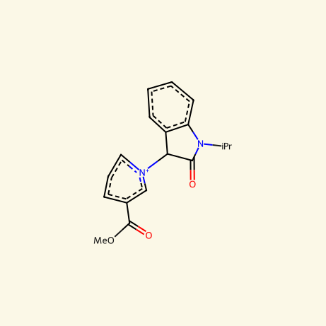 COC(=O)c1ccc[n+](C2C(=O)N(C(C)C)c3ccccc32)c1